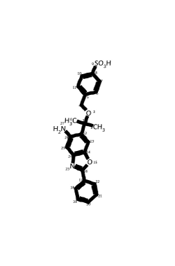 CC(C)(OCc1ccc(S(=O)(=O)O)cc1)c1cc2oc(-c3ccccc3)nc2cc1N